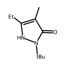 CCc1[nH]n(C(C)(C)C)c(=O)c1C